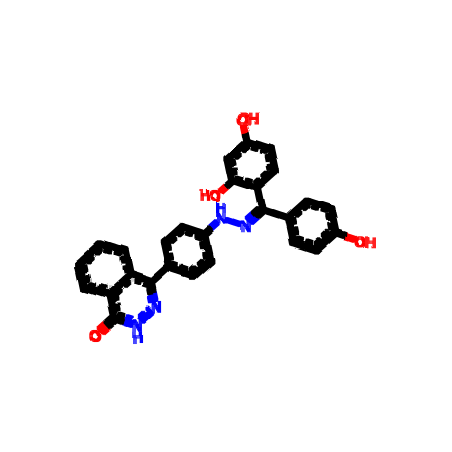 O=c1[nH]nc(-c2ccc(NN=C(c3ccc(O)cc3)c3ccc(O)cc3O)cc2)c2ccccc12